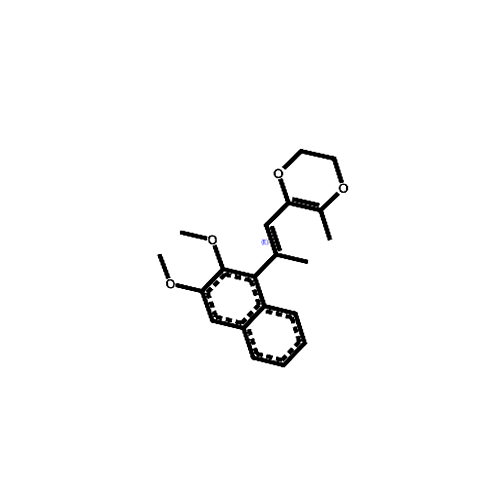 COc1cc2ccccc2c(/C(C)=C/C2=C(C)OCCO2)c1OC